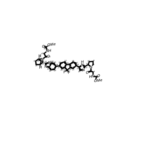 COC(=O)NCC(=O)N1CCCC1c1ncc(-c2ccc3c(c2)C(F)(F)c2cc(-c4ccc5nc([C@@H]6[C@H]7CC[C@H](C7)N6C(=O)CNC(=O)OC)[nH]c5c4)ccc2-3)[nH]1